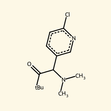 CN(C)C(C(=O)C(C)(C)C)c1ccc(Cl)nc1